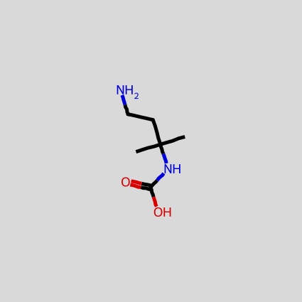 CC(C)(CCN)NC(=O)O